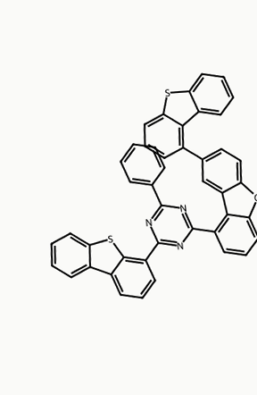 c1ccc(-c2nc(-c3cccc4c3sc3ccccc34)nc(-c3cccc4oc5ccc(-c6cccc7sc8ccccc8c67)cc5c34)n2)cc1